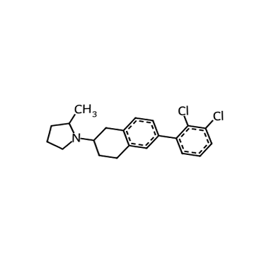 CC1CCCN1C1CCc2cc(-c3cccc(Cl)c3Cl)ccc2C1